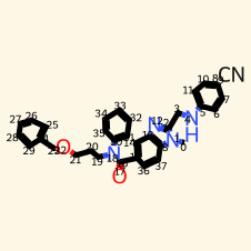 Cn1c(CNc2ccc(C#N)cc2)nc2cc(C(=O)N(CCCOCc3ccccc3)c3ccccc3)ccc21